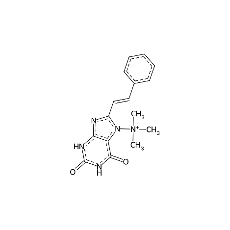 C[N+](C)(C)n1c(C=Cc2ccccc2)nc2[nH]c(=O)[nH]c(=O)c21